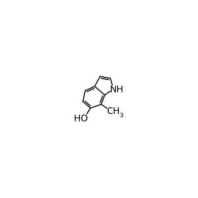 Cc1c(O)ccc2cc[nH]c12